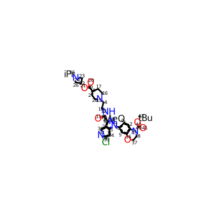 COc1cc2c(cc1-n1nc(C(=O)NCCN3CCC(C(=O)OC4CN(C(C)C)C4)CC3)c3cnc(Cl)cc31)OCCN2C(=O)OC(C)(C)C